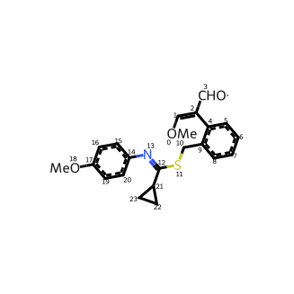 CO/C=C(/[C]=O)c1ccccc1CSC(=Nc1ccc(OC)cc1)C1CC1